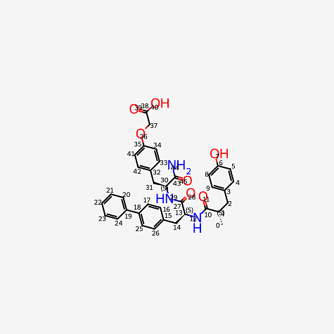 C[C@@H](Cc1ccc(O)cc1)C(=O)N[C@@H](Cc1ccc(-c2ccccc2)cc1)C(=O)N[C@@H](Cc1ccc(OCC(=O)O)cc1)C(N)=O